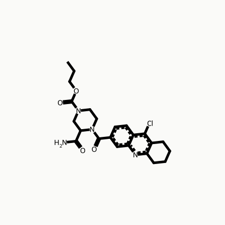 CCCOC(=O)N1CCN(C(=O)c2ccc3c(Cl)c4c(nc3c2)CCCC4)C(C(N)=O)C1